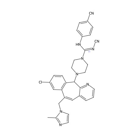 Cc1nccn1CC1=Cc2cccnc2C(N2CCN(/C(=N/C#N)Nc3ccc(C#N)cc3)CC2)c2ccc(Cl)cc21